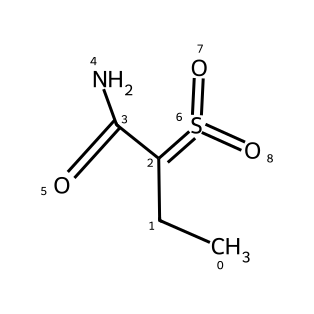 CCC(C(N)=O)=S(=O)=O